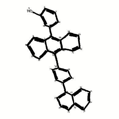 Oc1cccc(-c2c3ccccc3c(-c3ccc(-c4cccc5ccccc45)cc3)c3ccccc23)c1